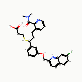 CN(C)C(=O)c1ncccc1CCC(SCCC(=O)O)c1cccc(OCc2ccc3ccc(Cl)cc3n2)c1